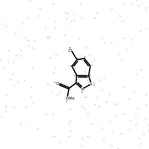 COC(=O)c1nsc2ccc(Cl)cc12